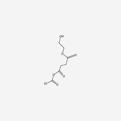 CCC(=O)OC(=O)CCC(=O)OCCO